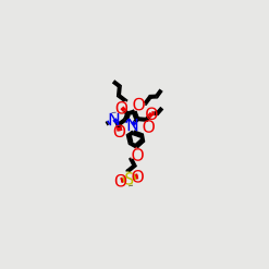 CCCCOc1c(OCCCC)c(C(=O)N(C)C)n(-c2ccc(OCCCS(C)(=O)=O)cc2)c1C(=O)OCC